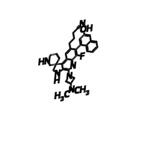 CN(C)C1CN(c2nc3c(F)c(-c4cc(O)cc5ccccc45)c(CCCC#N)cc3c3c2NCC32CCCNC2)C1